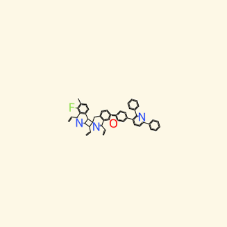 C=CC1=NC2C(C=C)C3(Cc4ccc5c(oc6cc(-c7ccc(-c8ccccc8)nc7-c7ccccc7)ccc65)c4C(C=C)=N3)C2c2ccc(C)c(F)c21